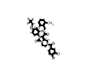 COc1cccc(C)c1CNC(=O)c1c2n(c(=O)n1-c1ccc(OCC(F)(F)F)cc1)CCN(C(=O)c1ccc(Br)c(Cl)c1)C2